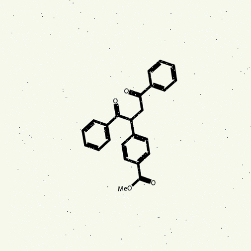 COC(=O)c1ccc(C(CC(=O)c2ccccc2)C(=O)c2ccccc2)cc1